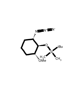 CO[C@@H]1CCC[C@H](N=[N+]=[N-])[C@H]1O[Si](C)(C)C(C)(C)C